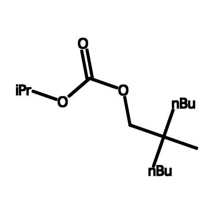 CCCCC(C)(CCCC)COC(=O)OC(C)C